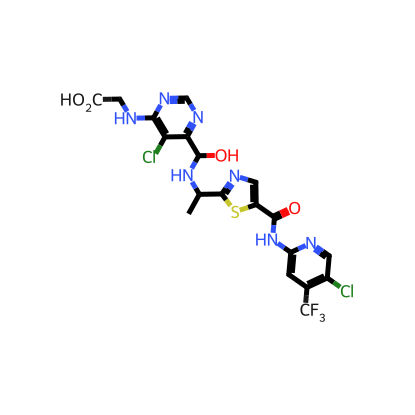 CC(NC(O)c1ncnc(NCC(=O)O)c1Cl)c1ncc(C(=O)Nc2cc(C(F)(F)F)c(Cl)cn2)s1